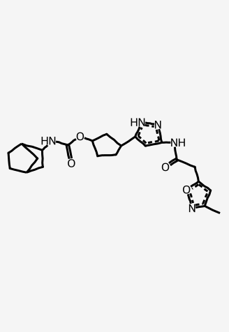 Cc1cc(CC(=O)Nc2cc(C3CCC(OC(=O)NC4CC5CCC4C5)C3)[nH]n2)on1